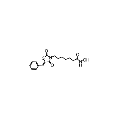 O=C(CCCCCCN1C(=O)S/C(=C\c2ccccc2)C1=O)NO